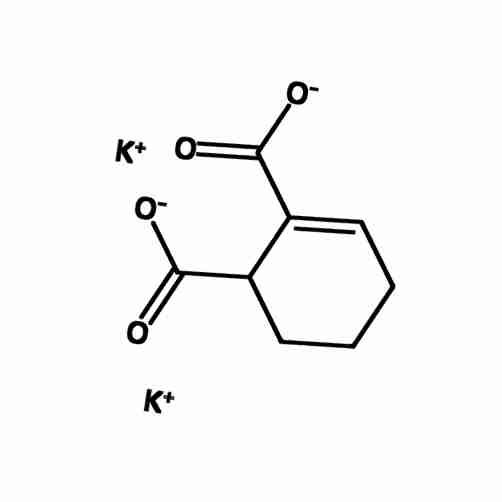 O=C([O-])C1=CCCCC1C(=O)[O-].[K+].[K+]